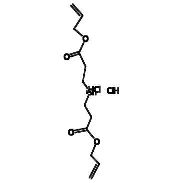 C=CCOC(=O)C[CH2][Sn][CH2]CC(=O)OCC=C.Cl.Cl